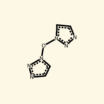 c1cn(On2ccnn2)nn1